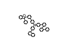 c1ccc(-c2ccccc2-c2ccccc2-c2ccc(N(c3ccc(-c4cccc(-c5oc6ccccc6c5-c5ccccc5)c4)cc3)c3ccc(-c4cccc5ccccc45)cc3)cc2)cc1